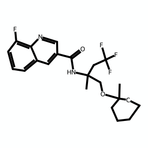 CC(COC1(C)CCCCC1)(CC(F)(F)F)NC(=O)c1cnc2c(F)cccc2c1